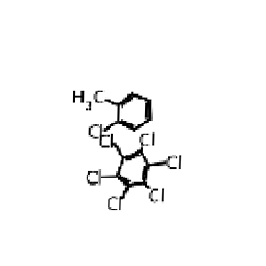 Cc1ccccc1Cl.Clc1c(Cl)c(Cl)c(Cl)c(Cl)c1Cl